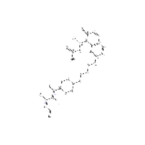 C=C/C=C(Cl)\C(Cl)=C(/C)N1CCN(CCCCOc2ccc3ccc(=O)n(C(OC(=O)CCC)C(C)C)c3c2)CC1